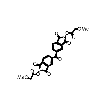 COCC(=O)ON1C(=O)c2ccc(C(=O)c3ccc4c(c3)C(=O)N(OC(=O)COC)C4=O)cc2C1=O